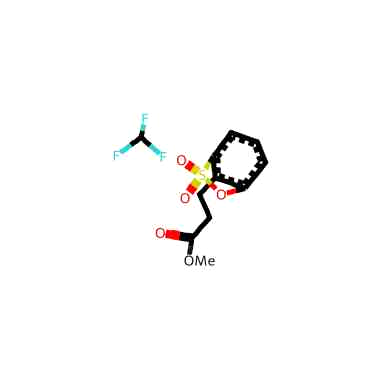 COC(=O)CCc1c2cccc1S(=O)(=O)O2.FC(F)F